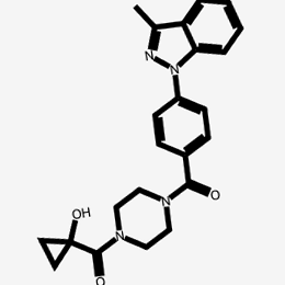 Cc1nn(-c2ccc(C(=O)N3CCN(C(=O)C4(O)CC4)CC3)cc2)c2ccccc12